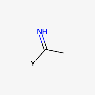 C[C](=N)[Y]